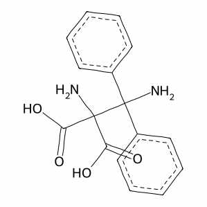 NC(C(=O)O)(C(=O)O)C(N)(c1ccccc1)c1ccccc1